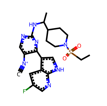 [C-]#[N+]c1cnc(NC(C)C2CCN(S(=O)(=O)CC)CC2)nc1-c1c[nH]c2ncc(F)cc12